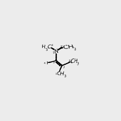 CC(C)=C(I)N(C)C